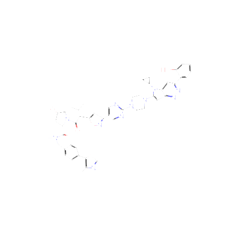 Cc1ncsc1-c1ccc([C@H](C)NC(=O)[C@@H]2C[C@@H](O)CN2C(=O)[C@@H](c2cc(-c3cnc(N4CCN(c5cc6nnc(-c7ccccc7O)cc6n5C5CC5)CC4)nc3)no2)C(C)C)cc1